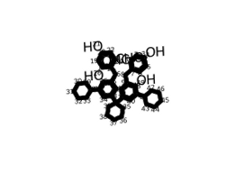 O=Cc1cc(O)ccc1Cc1cc(C2(c3cc(Cc4ccc(O)cc4C=O)c(O)c(C4CCCCC4)c3)CCCCC2)cc(C2CCCCC2)c1O